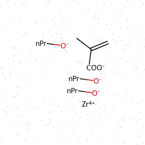 C=C(C)C(=O)[O-].CCC[O-].CCC[O-].CCC[O-].[Zr+4]